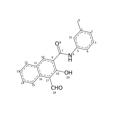 Cc1cccc(NC(=O)c2cc3ccccc3c(C=O)c2O)c1